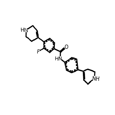 O=C(Nc1ccc(C2=CCNCC2)cc1)c1ccc(C2=CCNCC2)c(F)c1